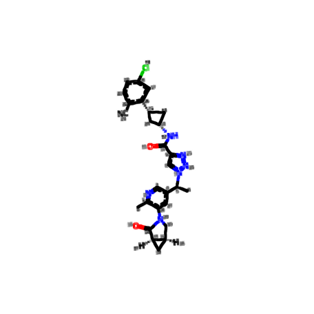 Cc1ncc([C@H](C)n2cc(C(=O)N[C@H]3C[C@@H](c4cc(Cl)ccc4C#N)C3)nn2)cc1N1C[C@H]2C[C@H]2C1=O